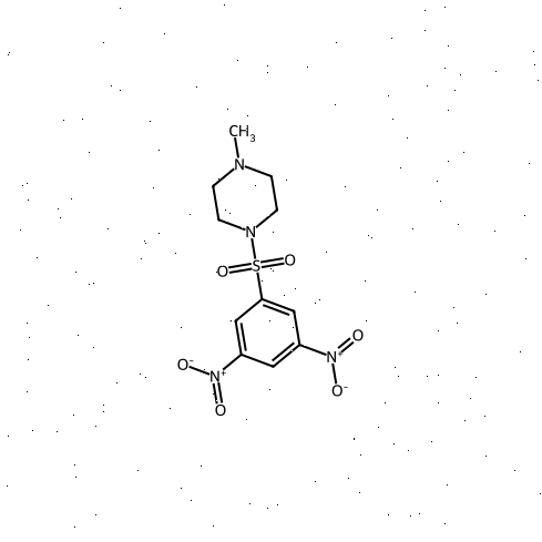 CN1CCN(S(=O)(=O)c2[c]c([N+](=O)[O-])cc([N+](=O)[O-])c2)CC1